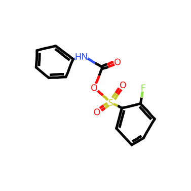 O=C(Nc1ccccc1)OS(=O)(=O)c1ccccc1F